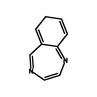 C1=CC2=NC=CN=CC2=CC1